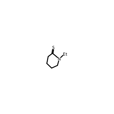 CCN1CCCCC1=S